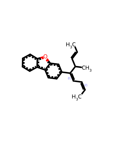 CC=CC(C)/C(=C\C=C/C)c1ccc2c(c1)oc1ccccc12